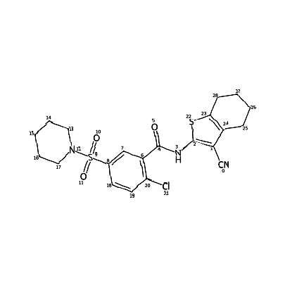 N#Cc1c(NC(=O)c2cc(S(=O)(=O)N3CCCCC3)ccc2Cl)sc2c1CCCC2